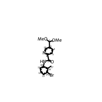 COC(OC)c1ccc(C(=O)Nc2cccc(Br)c2C)nc1